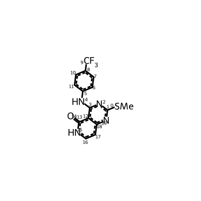 CSc1nc(Nc2ccc(C(F)(F)F)cc2)c2c(=O)[nH]ccc2n1